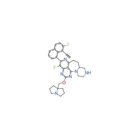 C#Cc1c(F)ccc2cccc(-c3nc4c5c(nc(OCC67CCCN6CCC7)nc5c3F)N3CCNCC3CC4)c12